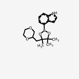 CC1(C)OB(c2cccc3[nH]ccc23)OC1(C)CC1COCCO1